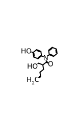 C=CCCC(CO)C(=O)N(c1ccccc1)c1ccc(O)cc1